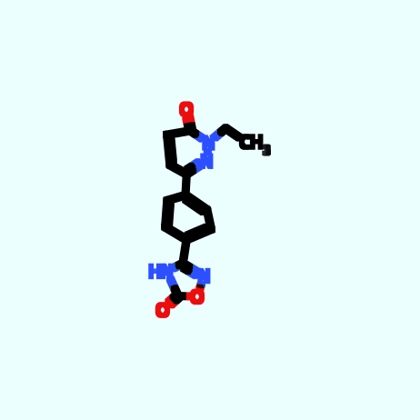 CCn1nc(-c2ccc(-c3noc(=O)[nH]3)cc2)ccc1=O